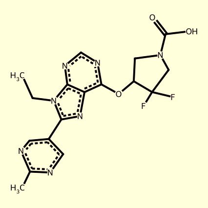 CCn1c(-c2cnc(C)nc2)nc2c(OC3CN(C(=O)O)CC3(F)F)ncnc21